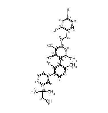 Cc1cnc(-c2ccnc(C(C)(C)CO)n2)c(F)c1-n1c(C)cc(OCc2ncc(F)cc2F)c(Cl)c1=O